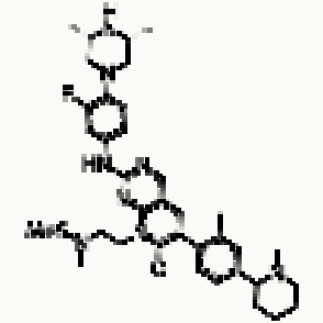 CSN(C)CCn1c(=O)c(-c2ccc(C3CCCCN3C)cc2C)cc2cnc(Nc3ccc(N4C[C@@H](C)N[C@@H](C)C4)c(F)c3)nc21